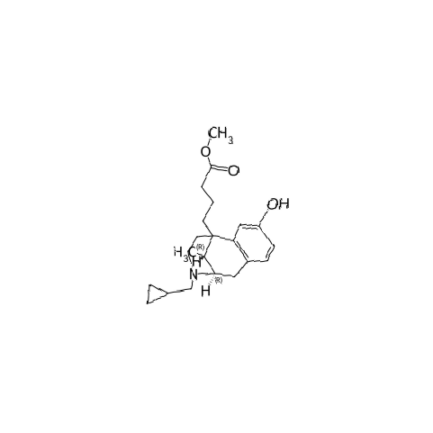 COC(=O)CCCC12CCN(CC3CC3)[C@H](Cc3ccc(O)cc31)[C@@H]2C